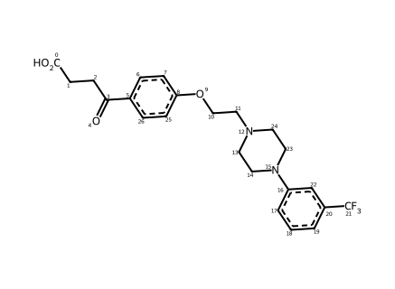 O=C(O)CCC(=O)c1ccc(OCCN2CCN(c3cccc(C(F)(F)F)c3)CC2)cc1